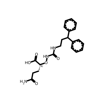 NC(=O)CC[C@@H](ONC(=O)NCCC(c1ccccc1)c1ccccc1)C(=O)O